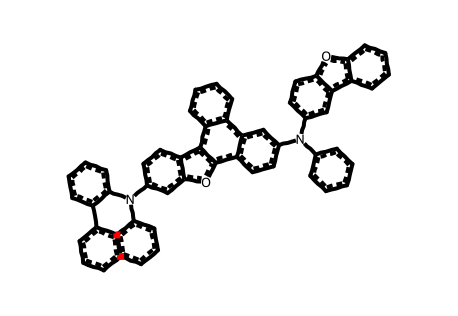 c1ccc(-c2ccccc2N(c2ccccc2)c2ccc3c(c2)oc2c4ccc(N(c5ccccc5)c5ccc6oc7ccccc7c6c5)cc4c4ccccc4c32)cc1